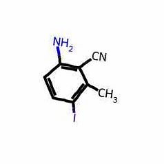 Cc1c(I)ccc(N)c1C#N